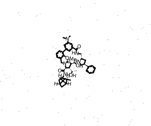 COc1c(CN2O[C@@H](CO)[C@H]([C@H](C)O)[C@H]2C(=O)N[C@H]2C[C@H]3C[C@@H]([C@@H]2C)C3(C)C)cccc1-c1cc(C(=O)NC[C@@H]2C[C@@H](c3ccccc3)CN2)cc(N(C)C)c1